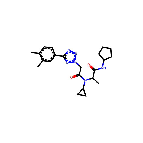 Cc1ccc(-c2nnn(CC(=O)N(C3CC3)C(C)C(=O)NC3CCCC3)n2)cc1C